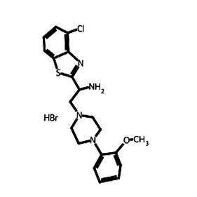 Br.COc1ccccc1N1CCN(CC(N)c2nc3c(Cl)cccc3s2)CC1